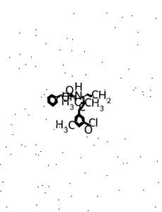 C=CC[C@H](NNC(=O)OCc1ccccc1)C(C)(C)CCc1cc(C)cc(C(=O)Cl)c1